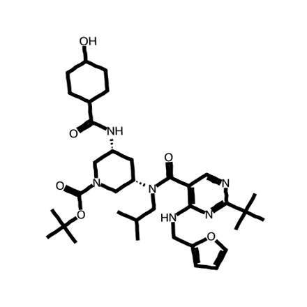 CC(C)CN(C(=O)c1cnc(C(C)(C)C)nc1NCc1ccco1)[C@H]1C[C@@H](NC(=O)C2CCC(O)CC2)CN(C(=O)OC(C)(C)C)C1